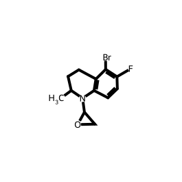 CC1CCc2c(ccc(F)c2Br)N1C1CO1